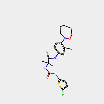 Cc1cc(NC(=O)C(C)(C)NC(=O)Oc2ccc(Cl)s2)ccc1N1CCCCCO1